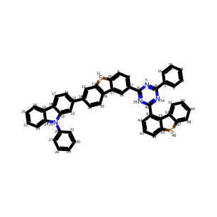 c1ccc(-c2nc(-c3ccc4sc5cc(-c6ccc7c8ccccc8n(-c8ccccc8)c7c6)ccc5c4c3)nc(-c3cccc4sc5ccccc5c34)n2)cc1